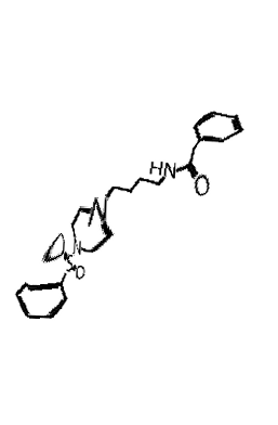 O=C(NCCCCN1CCN(S(=O)(=O)c2ccccc2)CC1)c1ccccc1